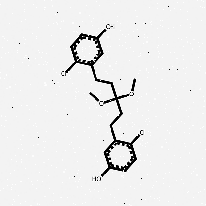 COC(CCc1cc(O)ccc1Cl)(CCc1cc(O)ccc1Cl)OC